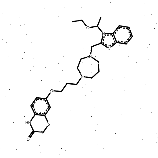 CCOC(C)n1c(CN2CCCN(CCCOc3ccc4c(c3)SCC(=O)N4)CC2)nc2ccccc21